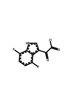 O=C(Cl)C(=O)c1c[nH]c2c(F)ccc(F)c12